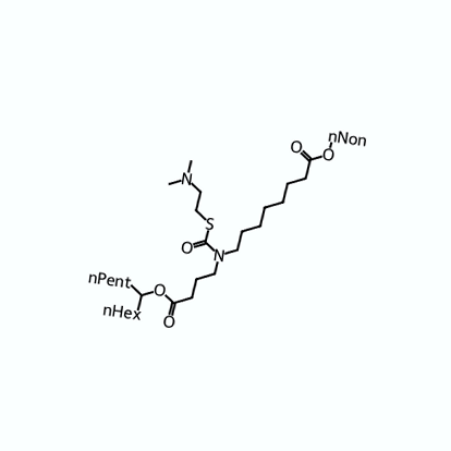 CCCCCCCCCOC(=O)CCCCCCCN(CCCC(=O)OC(CCCCC)CCCCCC)C(=O)SCCN(C)C